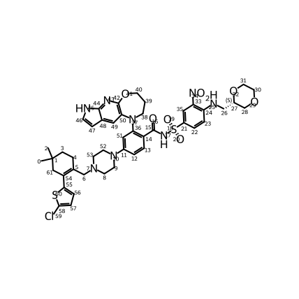 CC1(C)CCC(CN2CCN(c3ccc(C(=O)NS(=O)(=O)c4ccc(NC[C@H]5COCCO5)c([N+](=O)[O-])c4)c(N4CCCOc5nc6[nH]ccc6cc54)c3)CC2)=C(c2ccc(Cl)s2)C1